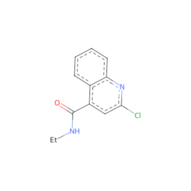 CCNC(=O)c1cc(Cl)nc2ccccc12